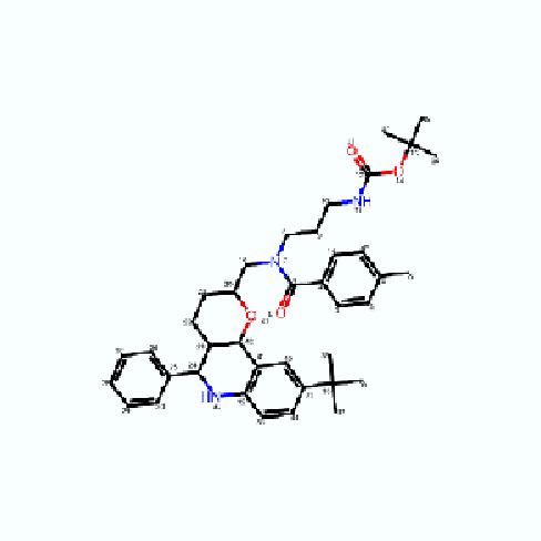 Cc1ccc(C(=O)N(CCCNC(=O)OC(C)(C)C)CC2CCC3C(c4ccccc4)Nc4ccc(C(C)(C)C)cc4C3O2)cc1